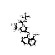 COc1cccc2ccnc(OC3C[C@@H](C(=O)O)N(C(=O)OC(C)(C)C)C3)c12